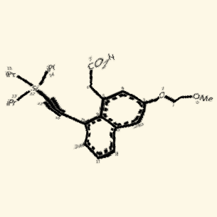 COCOc1cc(CC(=O)O)c2c(C#C[Si](C(C)C)(C(C)C)C(C)C)cccc2c1